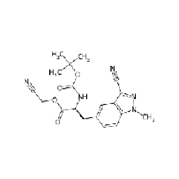 Cn1nc(C#N)c2cc(C[C@H](NC(=O)OC(C)(C)C)C(=O)OCC#N)ccc21